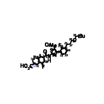 COc1sc(NC(=O)c2cc(F)c(/C=C(\C)C(=O)O)c(F)c2)nc1-c1cccc(CCCOCC(C)(C)C)c1F